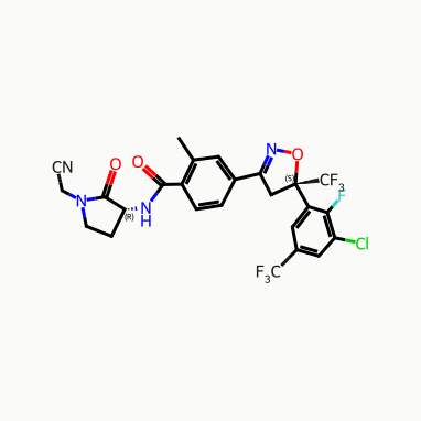 Cc1cc(C2=NO[C@@](c3cc(C(F)(F)F)cc(Cl)c3F)(C(F)(F)F)C2)ccc1C(=O)N[C@@H]1CCN(CC#N)C1=O